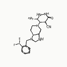 CCCC1NNC(=O)C(C#N)C1N1CCC2C(C1)NCN2Cc1ccccc1C(F)F